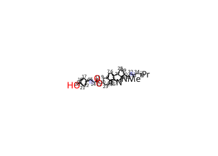 CNC12CCC3C(=CC=C4CC(OC(=O)/C=C/c5ccc(O)cc5)CCC43C#N)C1CCC2C/C=C/CC(C)C